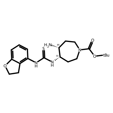 CC(C)(C)OC(=O)N1CC[C@@H](N)[C@@H](NC(=S)Nc2cccc3c2CCO3)CC1